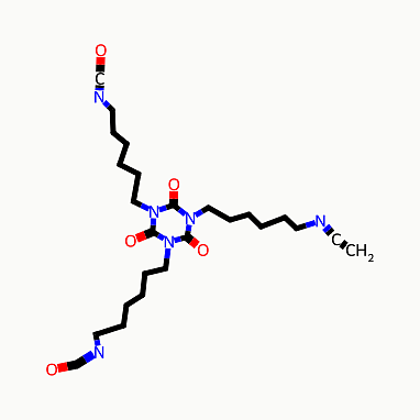 C=C=NCCCCCCn1c(=O)n(CCCCCCN=C=O)c(=O)n(CCCCCCN=C=O)c1=O